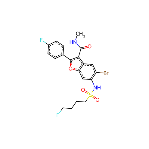 CNC(=O)c1c(-c2ccc(F)cc2)oc2cc(NS(=O)(=O)CCCCF)c(Br)cc12